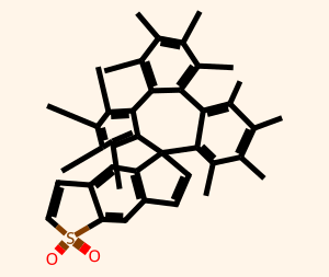 Cc1c(C)c(C)c2c(c1C)-c1c(C)c(C)c(C)c(C)c1C1(C=Cc3cc4c(cc31)C=CS4(=O)=O)c1c(C)c(C)c(C)c(C)c1-2